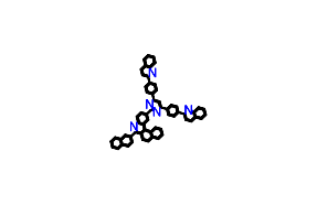 c1ccc2cc(-c3nc4ccc(-c5nc(-c6ccc(-c7ccc8ccccc8n7)cc6)cc(-c6ccc(-c7ccc8ccccc8n7)cc6)n5)cc4c4c3ccc3ccccc34)ccc2c1